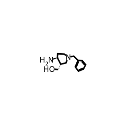 N[C@H]1CCN(Cc2ccccc2)C[C@@H]1CO